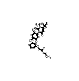 CCOC(=O)COc1ccccc1Oc1cc(-n2c(=O)cc(C(F)(F)F)n(C)c2=O)c(F)cc1Cl